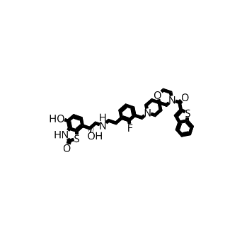 O=C(c1cc2ccccc2s1)N1CCOC2(CCN(Cc3cccc(CCNC[C@H](O)c4ccc(O)c5[nH]c(=O)sc45)c3F)CC2)C1